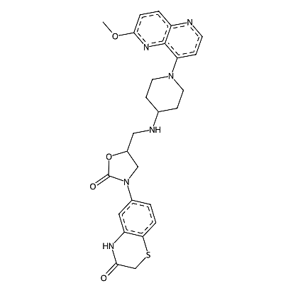 COc1ccc2nccc(N3CCC(NCC4CN(c5ccc6c(c5)NC(=O)CS6)C(=O)O4)CC3)c2n1